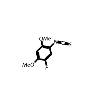 COc1cc(OC)c(N=C=S)cc1F